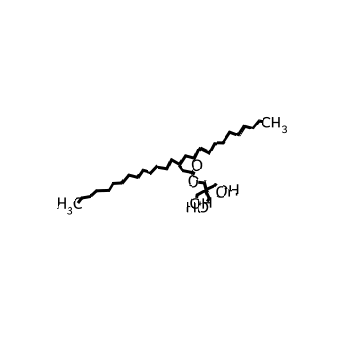 CCCCCCCCCCCCCCC(CCCCCCCCCCCC)CC(=O)OCC(CO)(CO)CO